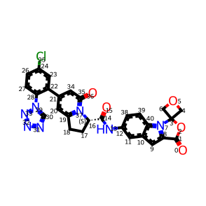 O=C1OC2(COC2)n2c1cc1cc(NC(=O)[C@@H]3CCc4cc(-c5cc(Cl)ccc5-n5cnnn5)cc(=O)n43)ccc12